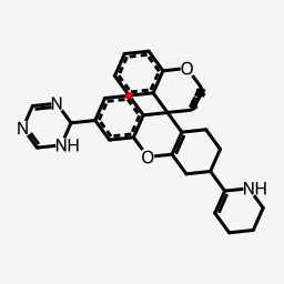 C1=NC=NC(c2ccc3c(c2)OC2=C(CCC(C4=CCCCN4)C2)C32c3ccccc3Oc3ccccc32)N1